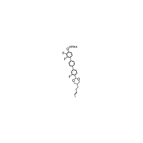 C/C=C/CCC1COC(c2ccc(-c3ccc(-c4ccc(OCCCCCC)c(F)c4F)cc3)cc2F)OC1